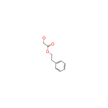 [O]CC(=O)OCCc1ccccc1